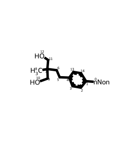 CCCCCCCCCc1ccc(CCC(C)(CO)CO)cc1